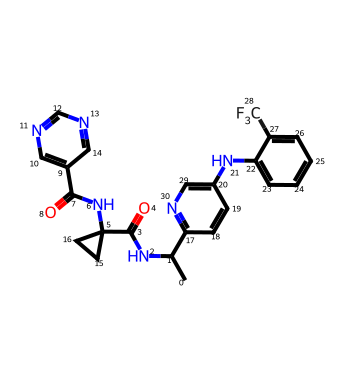 CC(NC(=O)C1(NC(=O)c2cncnc2)CC1)c1ccc(Nc2ccccc2C(F)(F)F)cn1